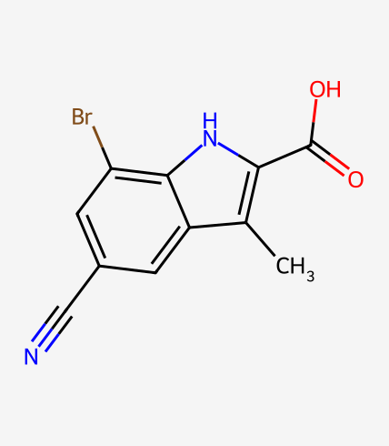 Cc1c(C(=O)O)[nH]c2c(Br)cc(C#N)cc12